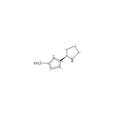 CCOC(=O)c1csc([C@H]2CCCN2)n1